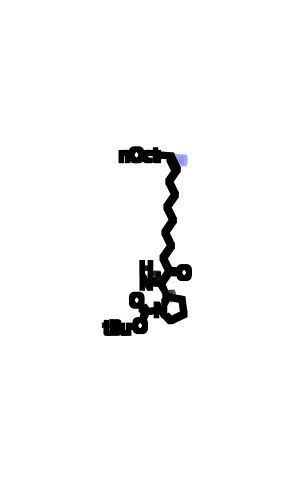 CCCCCCCC/C=C\CCCCCCCC(=O)C(N)[C@H]1CCCN1C(=O)OC(C)(C)C